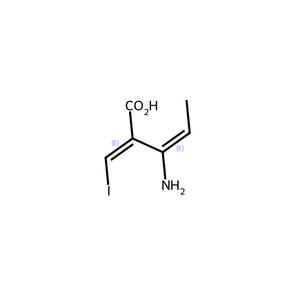 C/C=C(N)\C(=C/I)C(=O)O